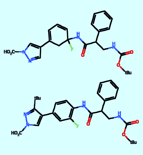 CC(C)(C)OC(=O)NCC(C(=O)NC1(F)C=CC=C(c2cnn(C(=O)O)c2)C1)c1ccccc1.CC(C)(C)OC(=O)NCC(C(=O)Nc1ccc(-c2cn(C(=O)O)nc2C(C)(C)C)cc1F)c1ccccc1